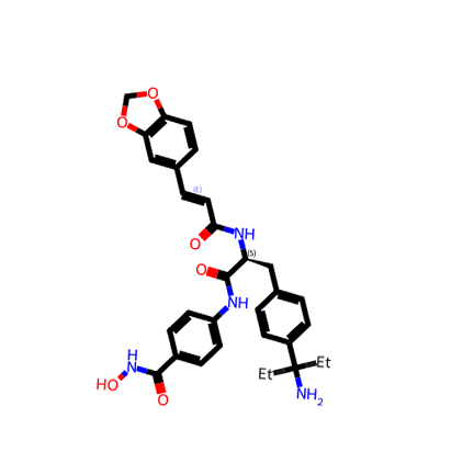 CCC(N)(CC)c1ccc(C[C@H](NC(=O)/C=C/c2ccc3c(c2)OCO3)C(=O)Nc2ccc(C(=O)NO)cc2)cc1